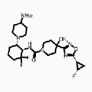 CNC1CCN([C@H]2CCCC(F)(F)[C@@H]2NC(=O)N2CCC(C)(c3noc([C@@H]4C[C@@H]4F)n3)CC2)CC1